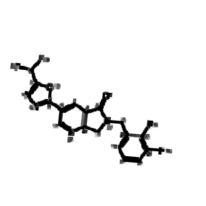 O=C1c2cc(-c3nnc(C(F)F)o3)cnc2CN1Cc1cccc(F)c1F